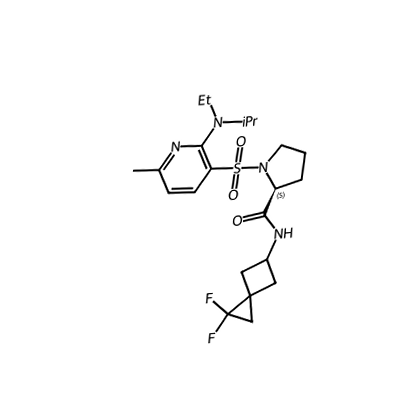 CCN(c1nc(C)ccc1S(=O)(=O)N1CCC[C@H]1C(=O)NC1CC2(C1)CC2(F)F)C(C)C